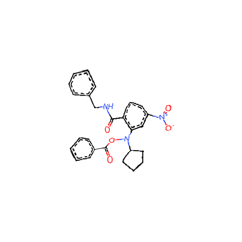 O=C(ON(c1cc([N+](=O)[O-])ccc1C(=O)NCc1ccccc1)C1CCCC1)c1ccccc1